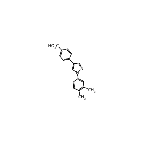 Cc1ccc(-n2cc(-c3ccc(C(=O)O)cc3)cn2)cc1C